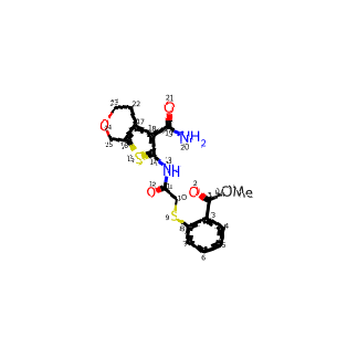 COC(=O)c1ccccc1SCC(=O)Nc1sc2c(c1C(N)=O)CCOC2